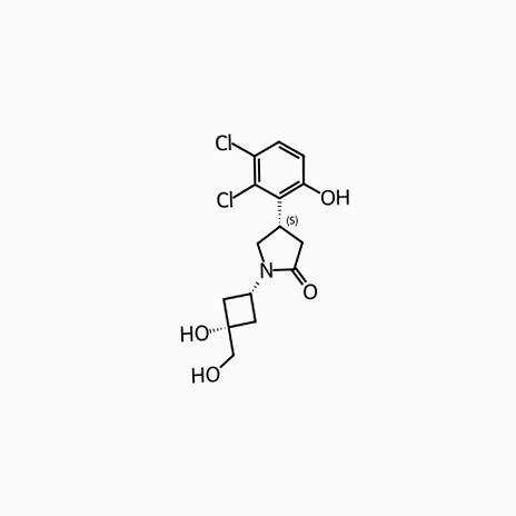 O=C1C[C@@H](c2c(O)ccc(Cl)c2Cl)CN1[C@H]1C[C@](O)(CO)C1